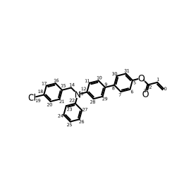 C=CC(=O)Oc1ccc(-c2ccc(N(Cc3ccc(Cl)cc3)c3ccccc3)cc2)cc1